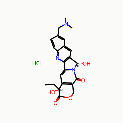 CC[C@@]1(O)C(=O)OCc2c1cc1n(c2=O)[C@@H](O)c2cc3cc(CN(C)C)ccc3nc2-1.Cl